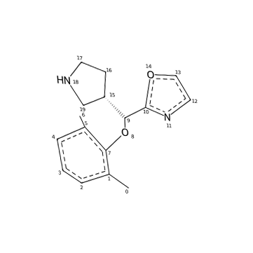 Cc1cccc(C)c1OC(c1ncco1)[C@H]1CCNC1